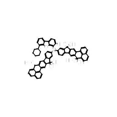 CC1c2cc3c(cc2-c2cccc4cccc1c24)C(C)(C)c1cc(N(c2ccc4c(c2)C(C)(C)c2cc5c(cc2-4)C(C)(C)c2cccc4cccc-5c24)c2cccc4c2oc2c(C5CCCCC5)cccc24)ccc1-3